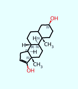 C[C@]12CC[C@H](O)CC1CC[C@@H]1[C@@H]2CC[C@]2(C)C(O)=CC[C@@H]12